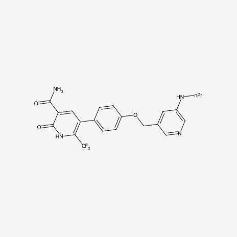 CCCNc1cncc(COc2ccc(-c3cc(C(N)=O)c(=O)[nH]c3C(F)(F)F)cc2)c1